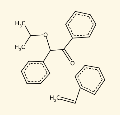 C=Cc1ccccc1.CC(C)OC(C(=O)c1ccccc1)c1ccccc1